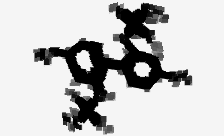 Nc1ccc(-c2ccc(N)cc2OC(F)(F)C(F)(F)F)c(OC(F)(F)C(F)(F)F)c1